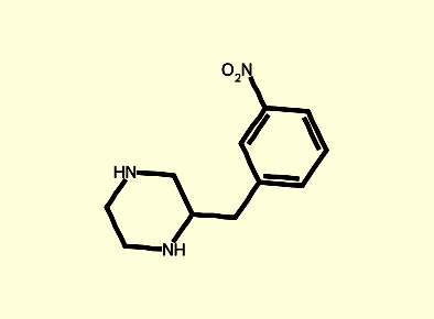 O=[N+]([O-])c1cccc(CC2CNCCN2)c1